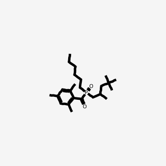 CCCCCCP(=O)(CC(C)CC(C)(C)C)C(=O)c1c(C)cc(C)cc1C